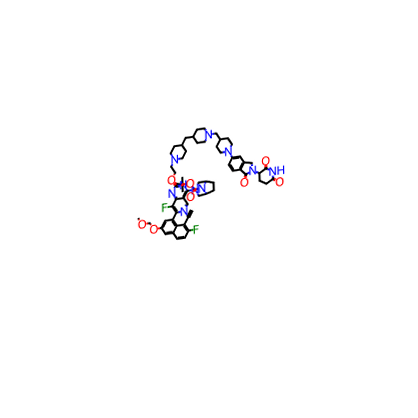 C#Cc1c(F)ccc2cc(OCOC)cc(-c3ncc4c(N5CC6CCC(C5)N6C(=O)OC(C)(C)C)nc(OCCN5CCC(CC6CCN(CC7CCN(c8ccc9c(c8)CN(C8CCC(=O)NC8=O)C9=O)CC7)CC6)CC5)nc4c3F)c12